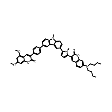 CCCCN(CCCC)c1ccc2cc(-c3ccc(-c4ccc5c(c4)c4cc(-c6ccc(-c7cc8c(OC)cc(OC)cc8oc7=O)cc6)ccc4n5C)n3C)c(=O)oc2c1